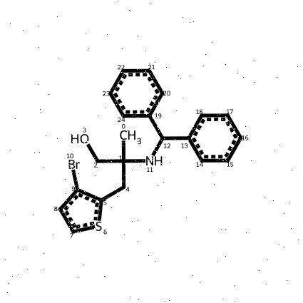 CC(CO)(Cc1sccc1Br)NC(c1ccccc1)c1ccccc1